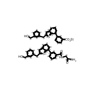 CCOC(=O)c1cccc(-c2cccc3cc(Cc4cccc(CO)c4)sc23)c1.NC(=O)CNC(=O)c1cccc(-c2cccc3cc(Cc4cccc(CO)c4)sc23)c1